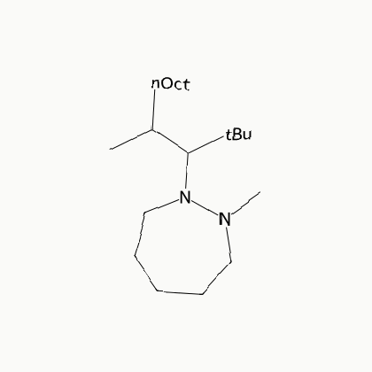 CCCCCCCCC(C)C(N1CCCCCN1C)C(C)(C)C